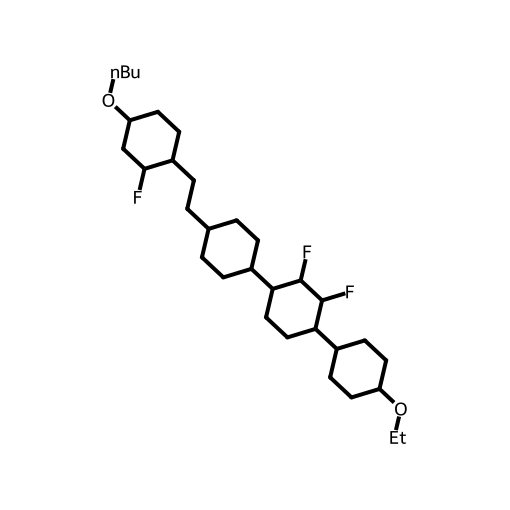 CCCCOC1CCC(CCC2CCC(C3CCC(C4CCC(OCC)CC4)C(F)C3F)CC2)C(F)C1